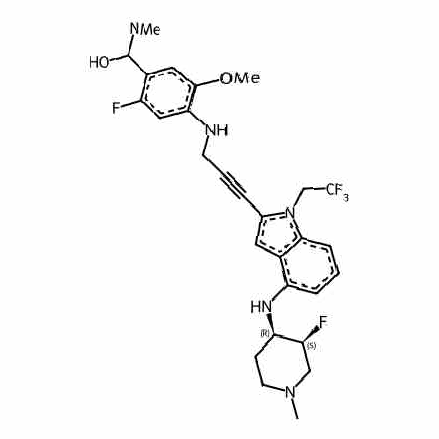 CNC(O)c1cc(OC)c(NCC#Cc2cc3c(N[C@@H]4CCN(C)C[C@@H]4F)cccc3n2CC(F)(F)F)cc1F